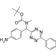 CN(C(=O)OC(C)(C)C)C(c1ccc(N)cc1)c1nnc(-c2ccccc2)nn1